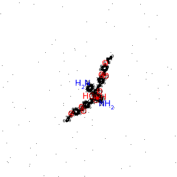 CCCCOC1CCC(C(=O)Oc2ccc(/C=C/C(=O)CC(Cc3ccc(N)cc3)(Cc3ccc(N)cc3)C(O)(O)C(=O)/C=C/c3ccc(OC(=O)C4CCC(OCCCC)CC4)cc3)cc2)CC1